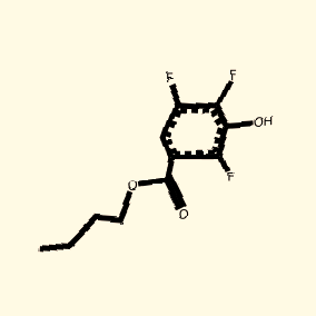 CCCCOC(=O)c1cc(F)c(F)c(O)c1F